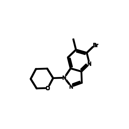 Cc1cc2c(cnn2C2CCCCO2)nc1Br